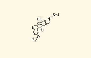 COc1ccc2ncc(Cl)c(C(=O)CC[C@H]3CCN(CCSC4CC4)C[C@H]3C(=O)O)c2c1